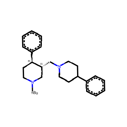 CCCCN1CC[C@@H](c2ccccc2)[C@H](CN2CCC(c3ccccc3)CC2)C1